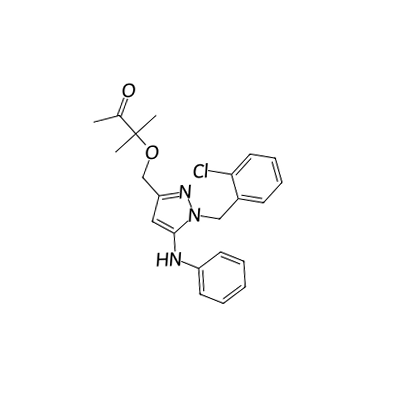 CC(=O)C(C)(C)OCc1cc(Nc2ccccc2)n(Cc2ccccc2Cl)n1